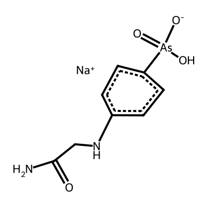 NC(=O)CNc1ccc([As](=O)([O-])O)cc1.[Na+]